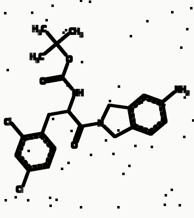 CC(C)(C)OC(=O)NC(Cc1ccc(Cl)cc1Cl)C(=O)N1Cc2ccc(N)cc2C1